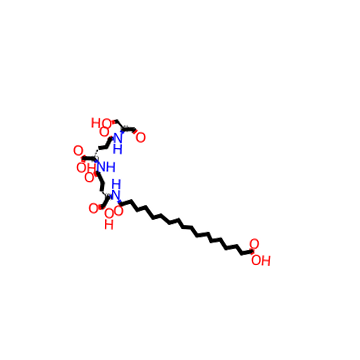 O=C[C@H](CO)NC(=O)CC[C@H](NC(=O)CC[C@H](NC(=O)CCCCCCCCCCCCCCCCC(=O)O)C(=O)O)C(=O)O